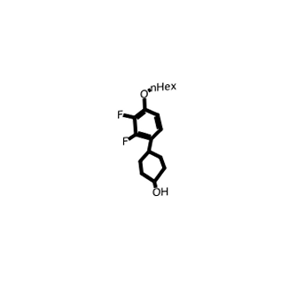 CCCCCCOc1ccc(C2CCC(O)CC2)c(F)c1F